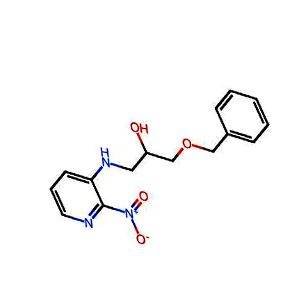 O=[N+]([O-])c1ncccc1NCC(O)COCc1ccccc1